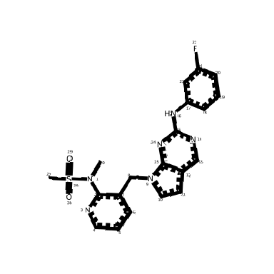 CN(c1ncccc1Cn1ccc2cnc(Nc3cccc(F)c3)nc21)S(C)(=O)=O